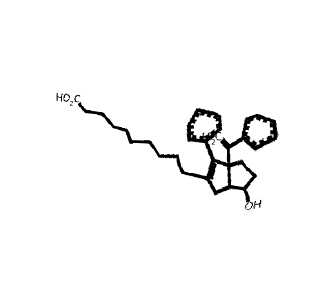 C=C(c1ccccc1)C12CCC(O)C1CC(CCCCCCCCCC(=O)O)=C2c1ccccc1